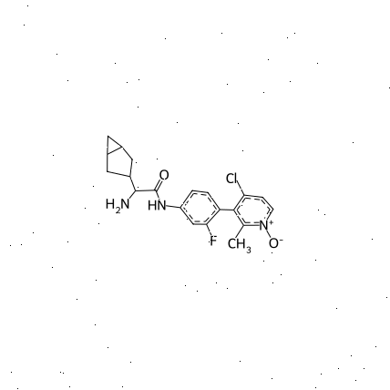 Cc1c(-c2ccc(NC(=O)C(N)C3CC4CC4C3)cc2F)c(Cl)cc[n+]1[O-]